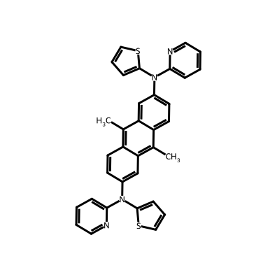 Cc1c2ccc(N(c3ccccn3)c3cccs3)cc2c(C)c2ccc(N(c3ccccn3)c3cccs3)cc12